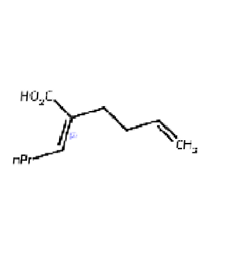 C=CCC/C(=C/CCC)C(=O)O